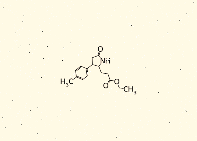 CCOC(=O)CCC1NC(=O)CC1c1ccc(C)cc1